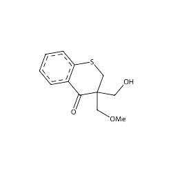 COCC1(CO)CSc2ccccc2C1=O